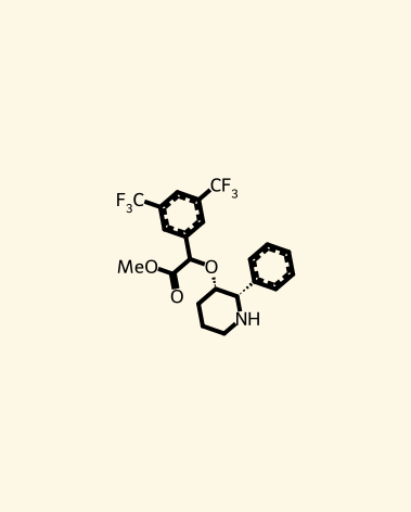 COC(=O)C(O[C@H]1CCCN[C@H]1c1ccccc1)c1cc(C(F)(F)F)cc(C(F)(F)F)c1